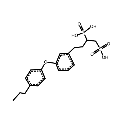 CCCc1ccc(Oc2cccc(CCC(CS(=O)(=O)O)P(=O)(O)O)c2)cc1